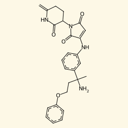 C=C1CCC(N2C(=O)C=C(Nc3cccc(C(C)(N)CCOc4ccccc4)c3)C2=O)C(=O)N1